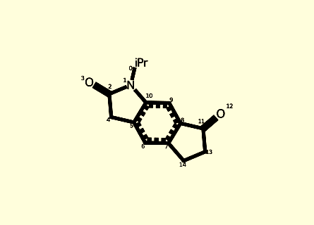 CC(C)N1C(=O)Cc2cc3c(cc21)C(=O)CC3